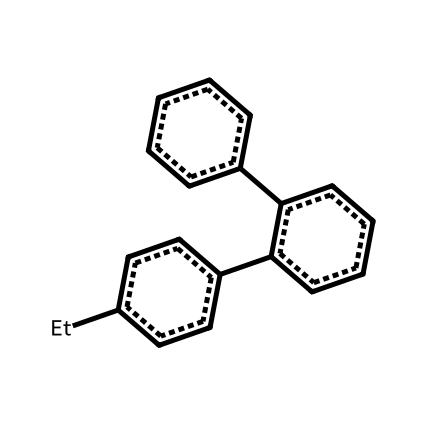 [CH2]Cc1ccc(-c2ccccc2-c2ccccc2)cc1